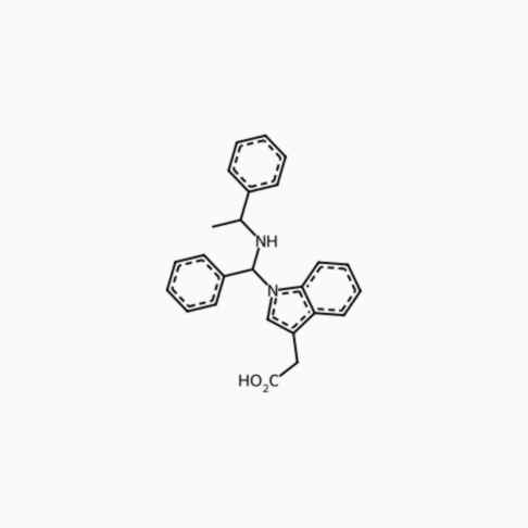 CC(NC(c1ccccc1)n1cc(CC(=O)O)c2ccccc21)c1ccccc1